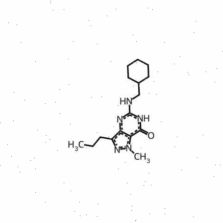 CCCc1nn(C)c2c(=O)[nH]c(NCC3CCCCC3)nc12